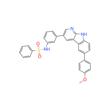 COc1ccc(-c2ccc3[nH]c4ncc(-c5cccc(NS(=O)(=O)c6ccccc6)c5)cc4c3c2)cc1